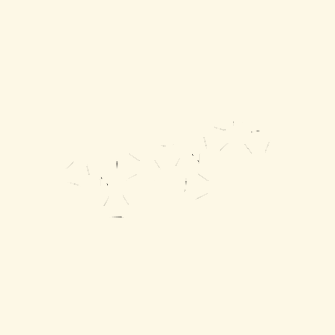 c1ccc(-n2c3ccccc3c3c4sc5c(ccc6c5c5ccccc5n6-c5ccc6oc7ccccc7c6c5)c4ccc32)cc1